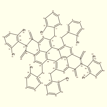 C=C1c2cc(Cc3ccccc3C(C)C)c3c4c(Cc5ccccc5C(C)C)cc5c6c(cc(Cc7ccccc7C(C)C)c(c7c(Cc8ccccc8C(C)C)cc(c2c37)C(=C)N1c1c(C(C)C)cccc1C(C)C)c64)C(=C)N(c1c(C(C)C)cccc1C(C)C)C5=C